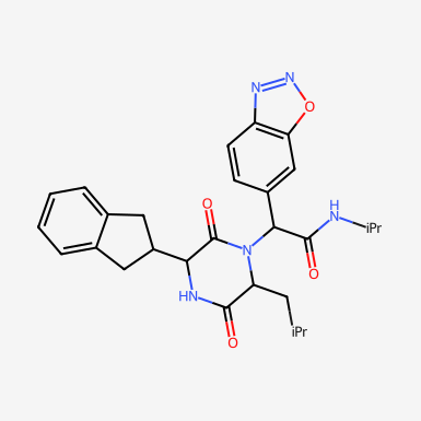 CC(C)CC1C(=O)NC(C2Cc3ccccc3C2)C(=O)N1C(C(=O)NC(C)C)c1ccc2nnoc2c1